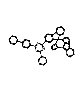 c1ccc(-c2ccc(-c3nc(-c4ccccc4)nc(-c4ccc5c(c4)C4(c6ccccc6-5)c5ccccc5-n5c6ccccc6c6cccc4c65)n3)cc2)cc1